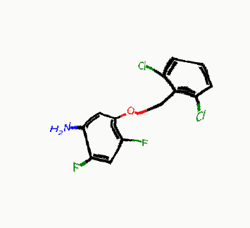 Nc1cc(OCc2c(Cl)cccc2Cl)c(F)cc1F